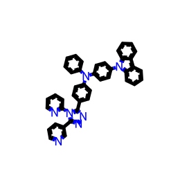 c1ccc(N(c2ccc(-c3nnc(-c4cccnc4)n3-c3ccccn3)cc2)c2ccc(-n3c4ccccc4c4ccccc43)cc2)cc1